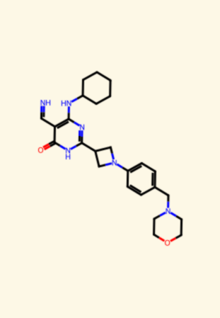 N=Cc1c(NC2CCCCC2)nc(C2CN(c3ccc(CN4CCOCC4)cc3)C2)[nH]c1=O